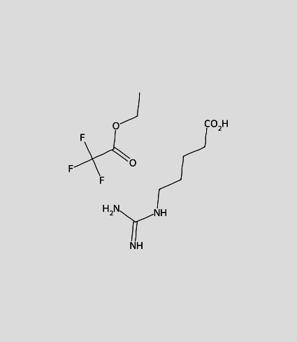 CCOC(=O)C(F)(F)F.N=C(N)NCCCCC(=O)O